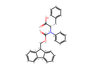 O=C(O)[C@H](Cc1ccccc1)N(C(=O)OCC1c2ccccc2-c2ccccc21)c1ccccc1